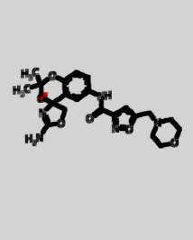 CC1(C)Oc2ccc(NC(=O)c3cc(CN4CCOCC4)on3)cc2C2(COC(N)=N2)C12COC2